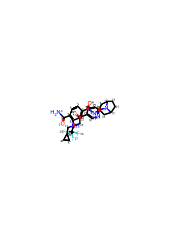 NC(=O)c1ccc(C(=O)NC2CC3CCC(C2)N3c2ccc(C(=O)CCC(F)(F)F)cn2)cc1NCC1CC1